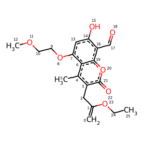 C=C(Cc1c(C)c2c(OCCOC)cc(O)c(C=O)c2oc1=O)OCC